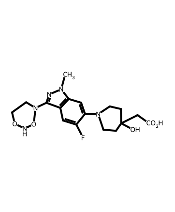 Cn1nc(N2CCONO2)c2cc(F)c(N3CCC(O)(CC(=O)O)CC3)cc21